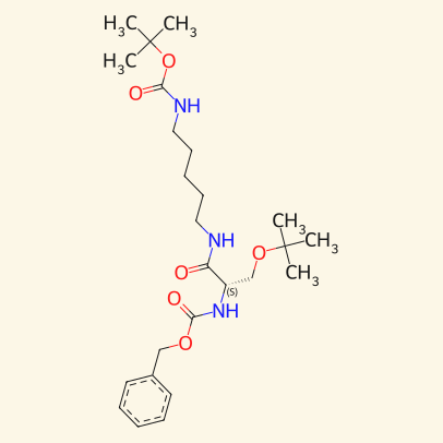 CC(C)(C)OC[C@H](NC(=O)OCc1ccccc1)C(=O)NCCCCCNC(=O)OC(C)(C)C